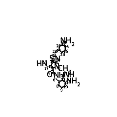 Cn1c(C(=O)NCc2cccc(N)c2C=N)c(C=N)c2sc(Cc3cccc(N)c3)nc21